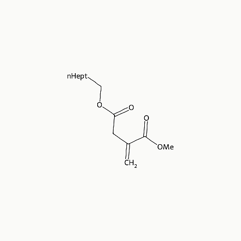 C=C(CC(=O)OCCCCCCCC)C(=O)OC